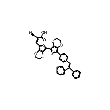 N#C/C(=C/c1sc(-c2sc(-c3ccc(C=C(c4ccccc4)c4ccccc4)cc3)c3c2OCCO3)c2c1OCCO2)C(=O)O